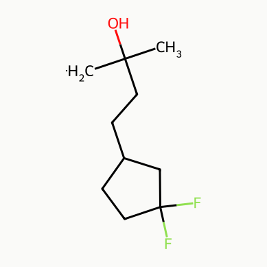 [CH2]C(C)(O)CCC1CCC(F)(F)C1